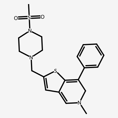 CN1C=c2cc(CN3CCN(S(C)(=O)=O)CC3)sc2=C(c2ccccc2)C1